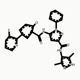 Cc1n[nH]c(C)c1NC(=O)c1cc(NC(=O)c2cc(-c3ncccc3F)ccc2Cl)n(-c2ccccc2)n1